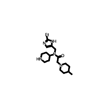 CCc1ncc(CN(C(=O)CN2CCC(C)CC2)C2CCNCC2)[nH]1